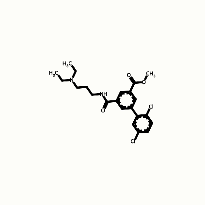 CCN(CC)CCCNC(=O)c1cc(C(=O)OC)cc(-c2cc(Cl)ccc2Cl)c1